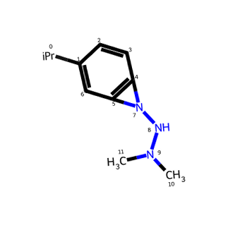 CC(C)c1ccc2c(c1)N2NN(C)C